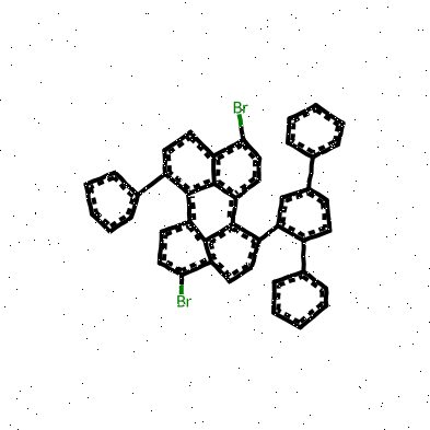 Brc1ccc2c3c(-c4cc(-c5ccccc5)ccc4-c4ccccc4)ccc4c(Br)ccc(c5c(-c6ccccc6)ccc1c25)c43